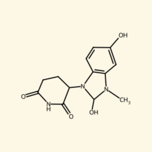 CN1c2cc(O)ccc2N(C2CCC(=O)NC2=O)C1O